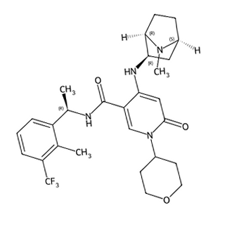 Cc1c([C@@H](C)NC(=O)c2cn(C3CCOCC3)c(=O)cc2N[C@@H]2C[C@@H]3CC[C@H]2N3C)cccc1C(F)(F)F